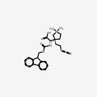 C[N+]1(C)CC[C@](CCN=[N+]=[N-])([C@H](NC(=O)OCC2c3ccccc3-c3ccccc32)C(=O)O)C1